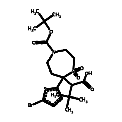 CC(C)(C)OC(=O)N1CCC(c2ccc(Br)s2)(C(C(=O)O)C(C)(C)C)S(=O)(=O)CC1